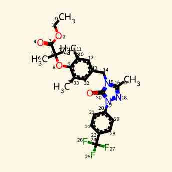 CCOC(=O)C(C)(C)Oc1c(C)cc(Cn2c(C)nn(-c3ccc(C(F)(F)F)cc3)c2=O)cc1C